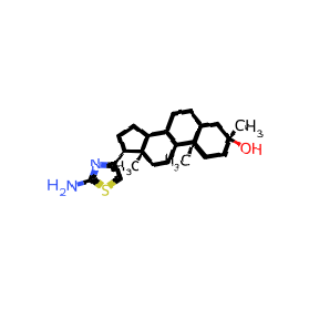 C[C@@]1(O)CC[C@@]2(C)C(CCC3C2CC[C@@]2(C)C3CC[C@@H]2c2csc(N)n2)C1